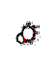 CC(C)C[C@@H]1NC(=O)[C@@H]2CCCN2C(=O)[C@@H]2CSCc3cc(cc(c3)OCCCCCCO/N=C/C(=O)N[C@@H](C)C(=O)N2)CSC[C@@H](C(N)=O)NC(=O)[C@H](CCC(=O)O)NC(=O)[C@H](Cc2ccc(O)cc2)NC(=O)[C@@H]2CCCN2C(=O)C([C@@H](C)O)NC(=O)[C@H](CC(=O)O)NC1=O